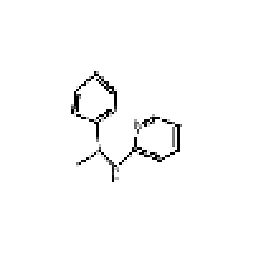 CC(Nc1cc[c]cn1)c1ccccc1